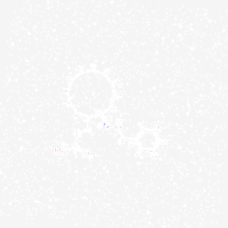 O=C(O)CCC1CCCCCCCCCC/C1=N\OCc1ccccc1